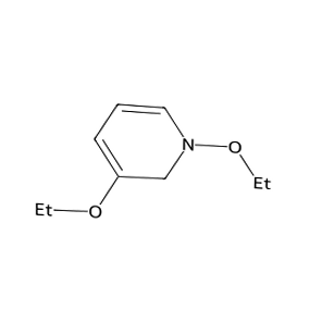 CCOC1=CC=CN(OCC)C1